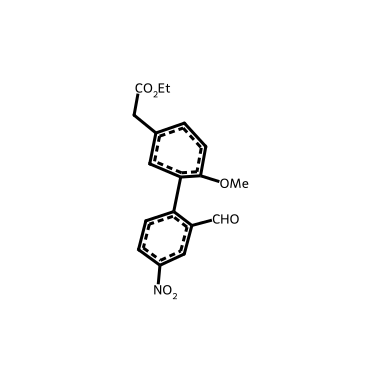 CCOC(=O)Cc1ccc(OC)c(-c2ccc([N+](=O)[O-])cc2C=O)c1